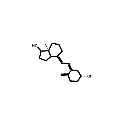 C=C1CC[C@@H](O)C/C1=C/C=C1\CCC[C@]2(C)C(O)CCC12